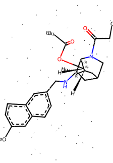 COc1ccc2cc(CN[C@@H]3CC4C[C@H](C)[C@H](OC(=O)C(C)(C)C)C3N(C(=O)CC(F)(F)F)C4)ccc2c1